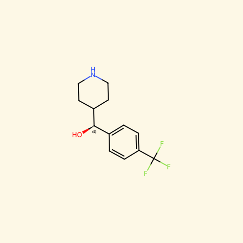 O[C@H](c1ccc(C(F)(F)F)cc1)C1CCNCC1